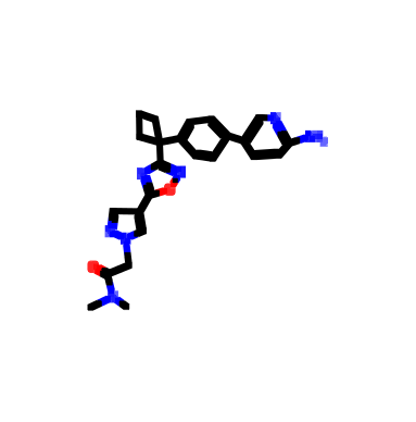 CN(C)C(=O)Cn1cc(-c2nc(C3(c4ccc(-c5ccc(N)nc5)cc4)CCC3)no2)cn1